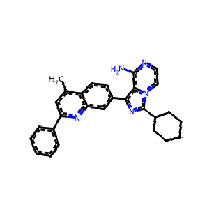 Cc1cc(-c2ccccc2)nc2cc(-c3nc(C4CC[CH]CC4)n4ccnc(N)c34)ccc12